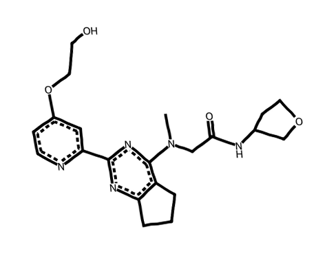 CN(CC(=O)NC1CCOC1)c1nc(-c2cc(OCCO)ccn2)nc2c1CCC2